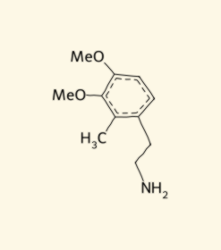 COc1ccc(CCN)c(C)c1OC